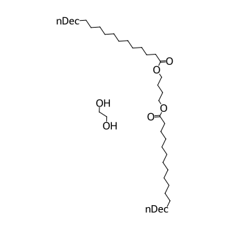 CCCCCCCCCCCCCCCCCCCCCC(=O)OCCCCOC(=O)CCCCCCCCCCCCCCCCCCCCC.OCCO